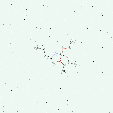 CCCC(C)N[Si](OCC)(OCC)OCC